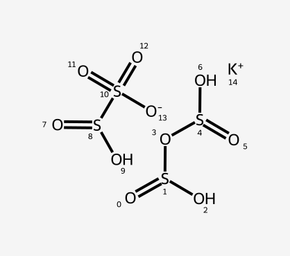 O=S(O)OS(=O)O.O=S(O)S(=O)(=O)[O-].[K+]